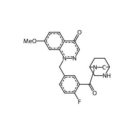 COc1ccc2c(=O)cnn(Cc3ccc(F)c(C(=O)N4CC5CCC4CN5)c3)c2c1